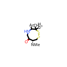 CN[C@H]1CSSC(C)(C)C(C(C)=O)NCC1=O